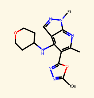 CCn1ncc2c(NC3CCOCC3)c(-c3nnc(C(C)(C)C)o3)c(C)nc21